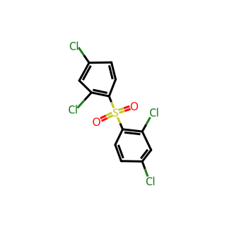 O=S(=O)(c1ccc(Cl)cc1Cl)c1ccc(Cl)cc1Cl